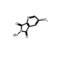 CC(C)(C)N1C(=O)c2cc([N+](=O)[O-])cnc2C1=O